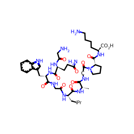 CC(C)C[C@H](NC(=O)CNC(=O)[C@H](Cc1c[nH]c2ccccc12)NC(=O)[C@H](CCC(N)=O)NC(=O)CN)C(=O)N[C@@H](C)C(=O)NCC(=O)N1CCC[C@H]1C(=O)N[C@@H](CCCCN)C(=O)O